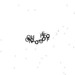 O=C(O)c1ccc(-c2cccc(COc3ccc(-c4ccccc4F)c(C(F)(F)F)c3)c2)cn1